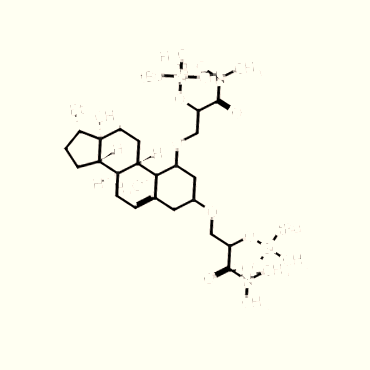 CC[C@H]1CC[C@H]2[C@@H]3CC=C4CC(OCC(O[Si](C)(C)C(C)(C)C)C(=O)N(C)C)CC(OCC(O[Si](C)(C)C(C)(C)C)C(=O)N(C)C)[C@]4(C)[C@H]3CC[C@]12C